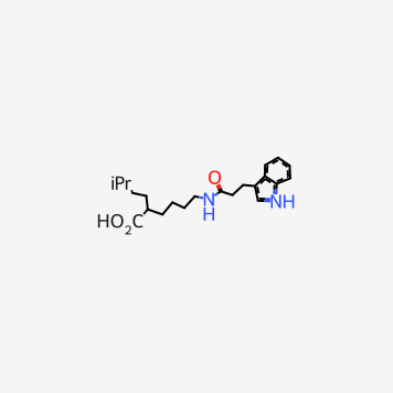 CC(C)CCC(CCCCNC(=O)CCc1c[nH]c2ccccc12)C(=O)O